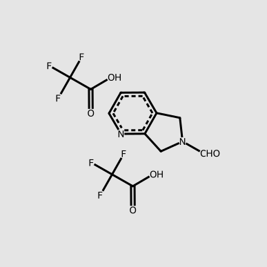 O=C(O)C(F)(F)F.O=C(O)C(F)(F)F.O=CN1Cc2cccnc2C1